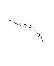 C=CC(=O)OCCCCCCc1ccc(OCC2(C=O)CCC(C(=O)Oc3ccc(CCCCCCC)cc3)CC2)cc1